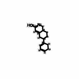 OC1=NCC2CCC(C3=CC=CCC3)CC2=C1